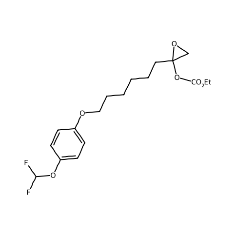 CCOC(=O)OC1(CCCCCCOc2ccc(OC(F)F)cc2)CO1